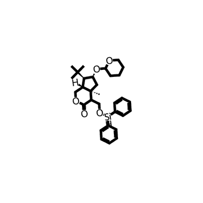 CC(C)(C)[C@@H]1[C@H]2COC(=O)C(CO[SiH](c3ccccc3)c3ccccc3)[C@]2(C)C[C@H]1OC1CCCCO1